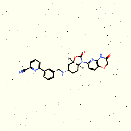 N#Cc1cccc(-c2cccc(CN[C@H]3CC[C@H]4[C@H](C3)OC(=O)N4c3ccc4c(n3)NC(=O)CO4)c2)n1